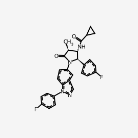 C[C@@H]1C(=O)N(c2ccc3c(cnn3-c3ccc(F)cc3)c2)[C@H](c2ccc(F)cc2)[C@H]1NC(=O)C1CC1